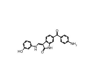 Nc1ccc(C(=O)c2ccc3c(c2)NC(=O)C3=CNc2cccc(O)c2)cc1